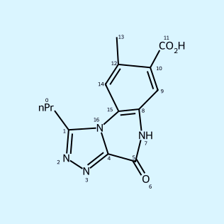 CCCc1nnc2c(=O)[nH]c3cc(C(=O)O)c(C)cc3n12